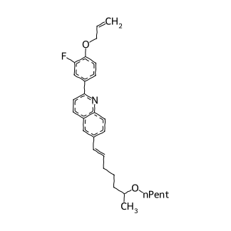 C=CCOc1ccc(-c2ccc3cc(/C=C/CCCC(C)OCCCCC)ccc3n2)cc1F